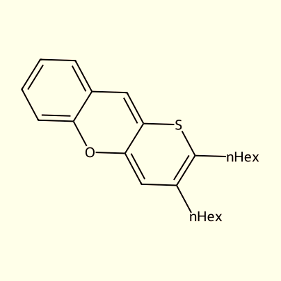 CCCCCCC1=C(CCCCCC)SC2=Cc3ccccc3OC2=C1